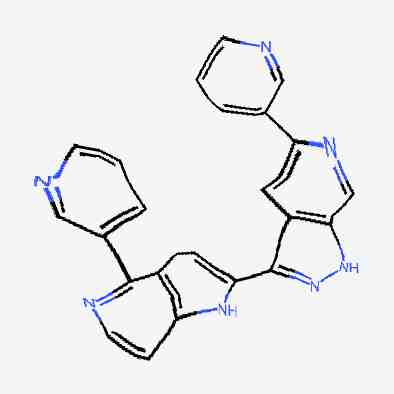 c1cncc(-c2cc3c(-c4cc5c(-c6cccnc6)nccc5[nH]4)n[nH]c3cn2)c1